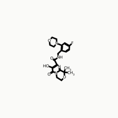 CC1(C)OCCn2c1nc(C(=O)NCc1ccc(F)cc1N1CCOCC1)c(O)c2=O